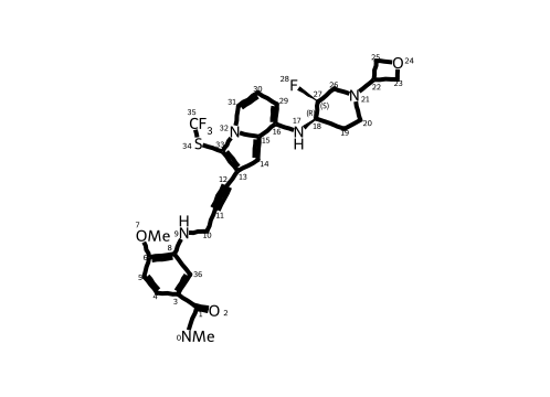 CNC(=O)c1ccc(OC)c(NCC#Cc2cc3c(N[C@@H]4CCN(C5COC5)C[C@@H]4F)cccn3c2SC(F)(F)F)c1